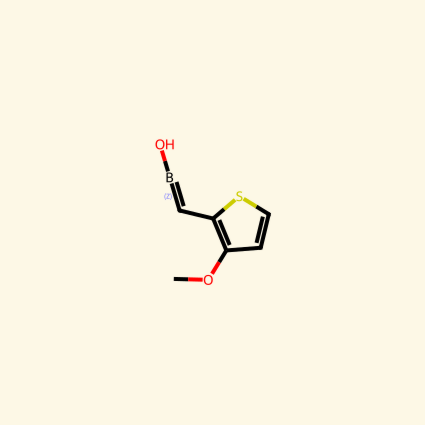 COc1ccsc1/C=B\O